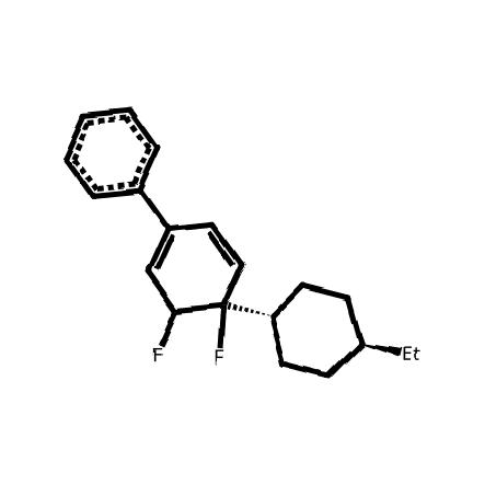 CC[C@H]1CC[C@H](C2(F)C=CC(c3ccccc3)=CC2F)CC1